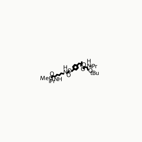 COC(=O)C(CCCCNC(=O)OCc1ccc(CC(C)(C)OC(=O)C(COC(C)(C)C)NC(C)C)cc1)NC(C)C